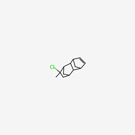 CC1(Cl)CC2CC1C1C3C=CC(C3)C21